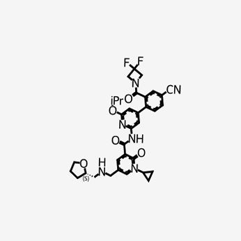 CC(C)Oc1cc(-c2ccc(C#N)cc2C(=O)N2CC(F)(F)C2)cc(NC(=O)c2cc(CNC[C@@H]3CCCO3)cn(C3CC3)c2=O)n1